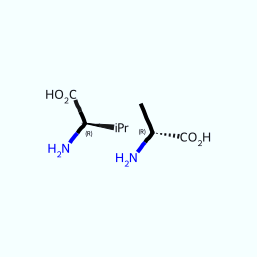 CC(C)[C@@H](N)C(=O)O.C[C@@H](N)C(=O)O